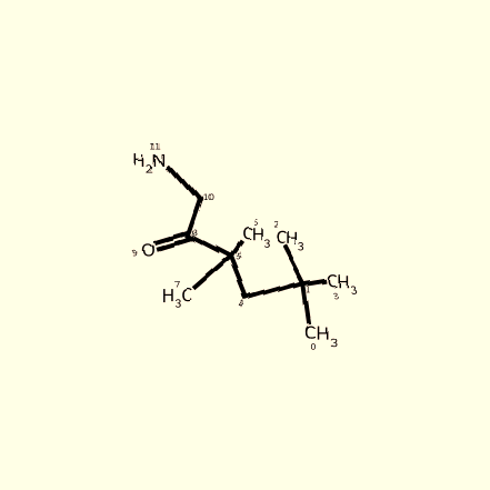 CC(C)(C)CC(C)(C)C(=O)CN